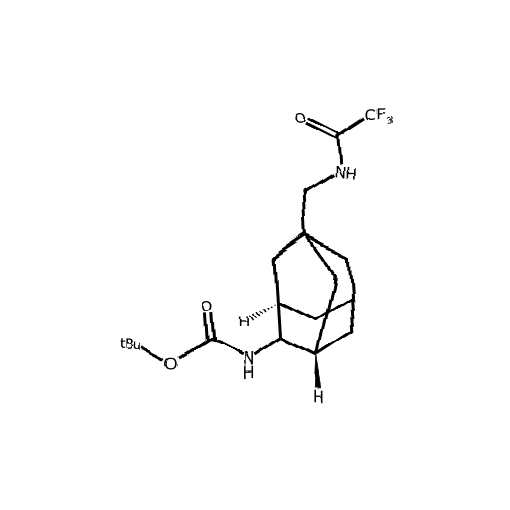 CC(C)(C)OC(=O)NC1[C@@H]2CC3C[C@H]1CC(CNC(=O)C(F)(F)F)(C3)C2